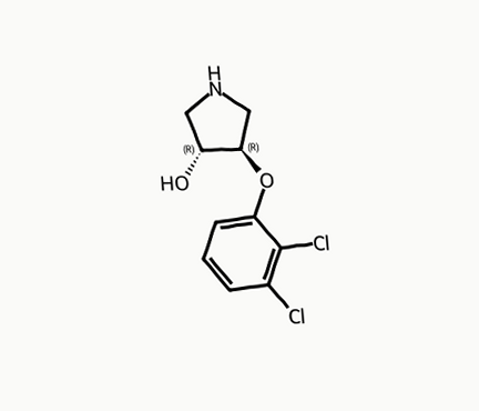 O[C@@H]1CNC[C@H]1Oc1cccc(Cl)c1Cl